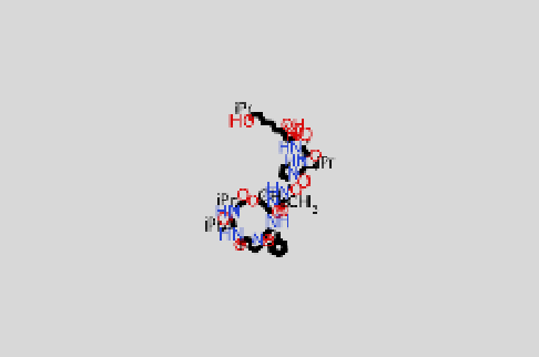 CC(C)C[C@H](NC(=O)[C@@H](CO)NC(=O)C[C@H](O)CCCC[C@H](O)C(C)C)C(=O)N1CCC[C@H]1C(=O)N[C@H](C)C(=O)N[C@@H]1C(=O)N[C@H](Cc2ccccc2)C(=O)N2CCC[C@H]2C(=O)N[C@H](CC(C)C)C(=O)N[C@@H](C(C)C)C(=O)O[C@@H]1C